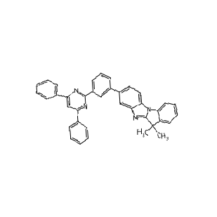 CC1(C)c2ccccc2-n2c1nc1cc(-c3cccc(-c4nc(-c5ccccc5)cc(-c5ccccc5)n4)c3)ccc12